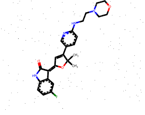 CC1(C)O/C(=C2/C(=O)Nc3ccc(F)cc32)C=C1c1ccc(NCCN2CCOCC2)nc1